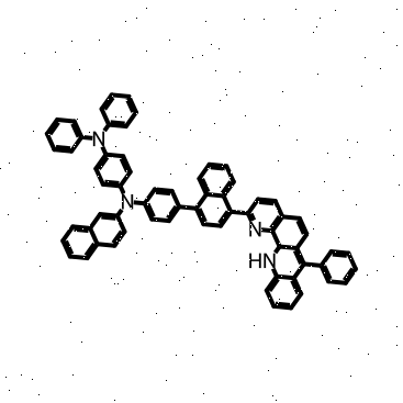 C1=Cc2ccc(-c3ccc(-c4ccc(N(c5ccc(N(c6ccccc6)c6ccccc6)cc5)c5ccc6ccccc6c5)cc4)c4ccccc34)nc2C2Nc3ccccc3C(c3ccccc3)=C12